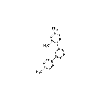 Cc1ccc(-c2cccc(-c3ccc(P)cc3C)c2)cc1